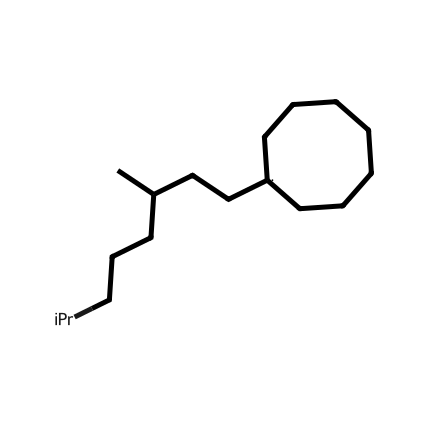 CC(C)CCCC(C)CC[C]1CCCCCCC1